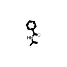 [CH2]C(=C)NC(=O)c1ccccc1